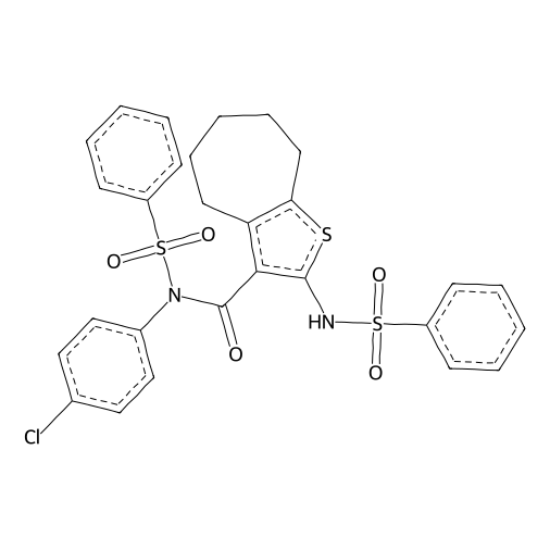 O=C(c1c(NS(=O)(=O)c2ccccc2)sc2c1CCCCC2)N(c1ccc(Cl)cc1)S(=O)(=O)c1ccccc1